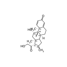 C[C@@H]1CC2[C@@H]3CCC4=CC(=O)C=C[C@]4(C)[C@@]3(F)[C@@H](O)C[C@]2(C)[C@H]1C(=O)CO